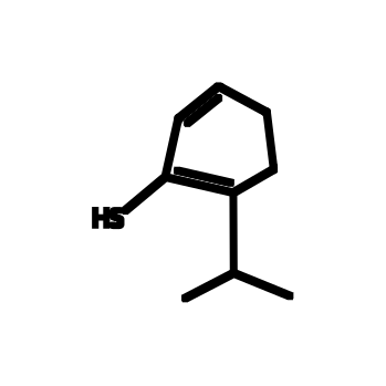 CC(C)C1=C(S)C=CCC1